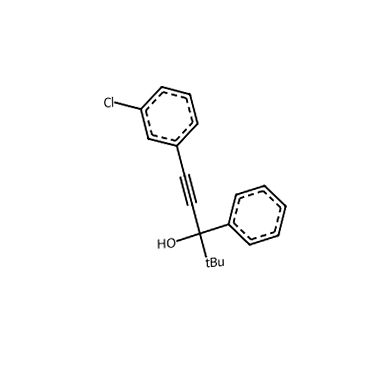 CC(C)(C)C(O)(C#Cc1cccc(Cl)c1)c1ccccc1